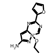 CCO[N+]12C=NC(c3ccco3)=NC1=CC(N)=N2